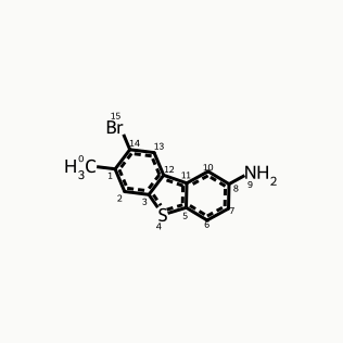 Cc1cc2sc3ccc(N)cc3c2cc1Br